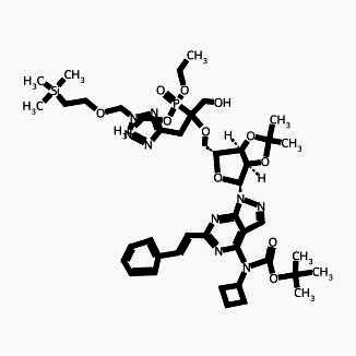 CCOP(=O)(OCC)C(CO)(Cc1nnn(COCC[Si](C)(C)C)n1)OC[C@H]1O[C@@H](n2ncc3c(N(C(=O)OC(C)(C)C)C4CCC4)nc(/C=C/c4ccccc4)nc32)[C@@H]2OC(C)(C)O[C@@H]21